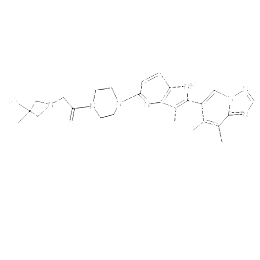 Cc1c(-c2[nH]c3ccc(N4CCN(C(=O)CN5CC(C)(O)C5)CC4)nc3c2C(C)C)cn2ncnc2c1C